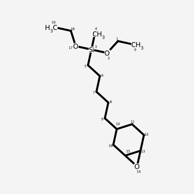 CCO[Si](C)(CCCCCC1CCC2OC2C1)OCC